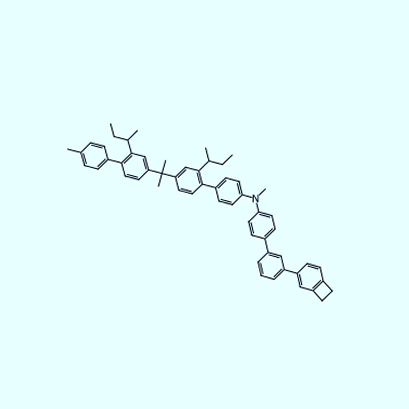 CCC(C)c1cc(C(C)(C)c2ccc(-c3ccc(N(C)c4ccc(-c5cccc(-c6ccc7c(c6)CC7)c5)cc4)cc3)c(C(C)CC)c2)ccc1-c1ccc(C)cc1